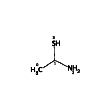 CC(N)S